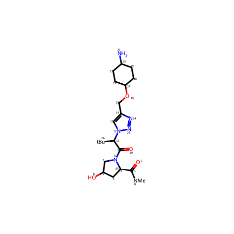 CNC(=O)[C@H]1CC(O)CN1C(=O)C(n1cc(COC2CCC(N)CC2)nn1)C(C)(C)C